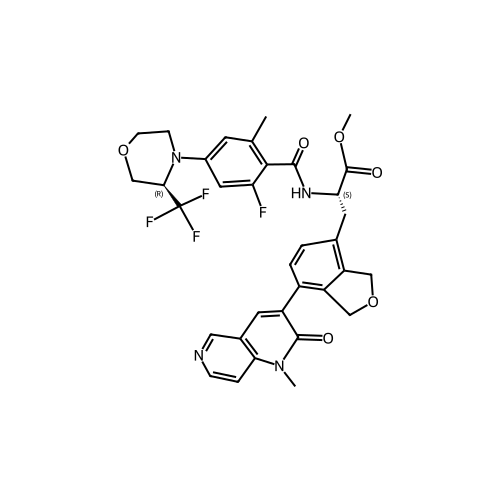 COC(=O)[C@H](Cc1ccc(-c2cc3cnccc3n(C)c2=O)c2c1COC2)NC(=O)c1c(C)cc(N2CCOC[C@@H]2C(F)(F)F)cc1F